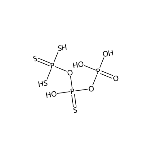 O=P(O)(O)OP(O)(=S)OP(=S)(S)S